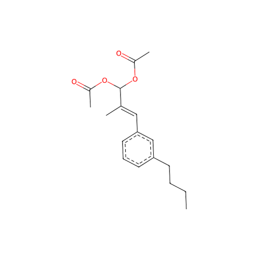 CCCCc1cccc(/C=C(\C)C(OC(C)=O)OC(C)=O)c1